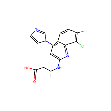 C[C@H](CC(=O)O)Nc1cc(-n2ccnc2)c2ccc(Cl)c(Cl)c2n1